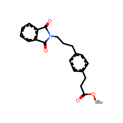 CC(C)(C)OC(=O)CCc1ccc(CCCN2C(=O)c3ccccc3C2=O)cc1